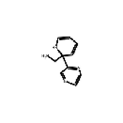 NCC1(c2cnccn2)C=CC=CN1